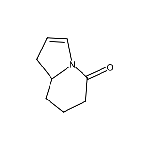 O=C1CCCC2CC=CN12